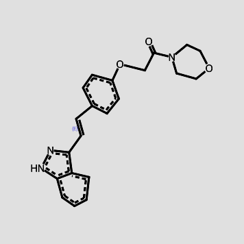 O=C(COc1ccc(/C=C/c2n[nH]c3ccccc23)cc1)N1CCOCC1